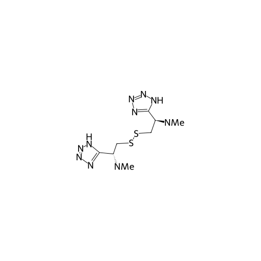 CN[C@@H](CSSC[C@H](NC)c1nnn[nH]1)c1nnn[nH]1